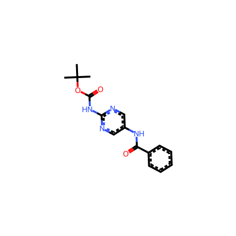 CC(C)(C)OC(=O)Nc1ncc(NC(=O)c2ccccc2)cn1